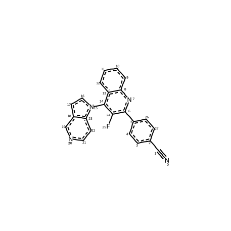 N#Cc1ccc(-c2nc3ccccc3c(-n3ccc4cnccc43)c2F)cc1